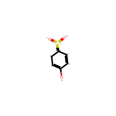 [O]C1=CCC(=S(=O)=O)C=C1